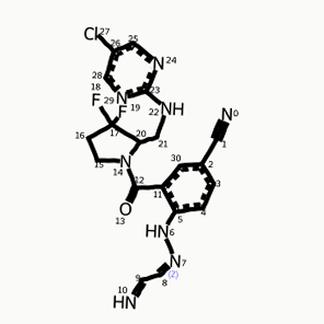 N#Cc1ccc(N/N=C\C=N)c(C(=O)N2CCC(F)(F)C2CNc2ncc(Cl)cn2)c1